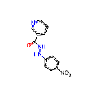 O=C(NNc1ccc([N+](=O)[O-])cc1)c1cccnc1